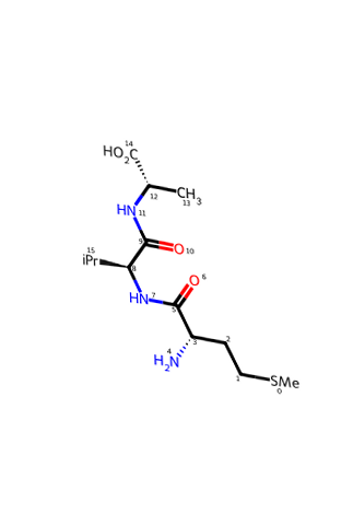 CSCC[C@H](N)C(=O)N[C@H](C(=O)N[C@@H](C)C(=O)O)C(C)C